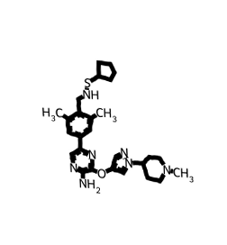 Cc1cc(-c2cnc(N)c(Oc3cnn(C4CCN(C)CC4)c3)n2)cc(C)c1CNSC1CCCC1